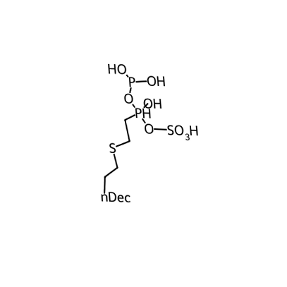 CCCCCCCCCCCCSCC[PH](O)(OP(O)O)OS(=O)(=O)O